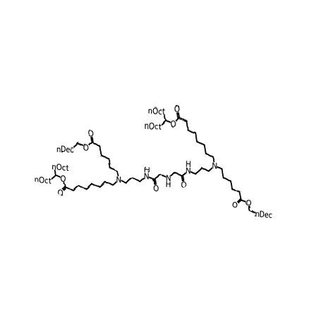 CCCCCCCCCCCOC(=O)CCCCCN(CCCCCCCC(=O)OC(CCCCCCCC)CCCCCCCC)CCCNC(=O)CNCC(=O)NCCCN(CCCCCCCC(=O)OC(CCCCCCCC)CCCCCCCC)CCCCCC(=O)OCCCCCCCCCCC